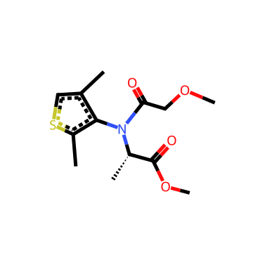 COCC(=O)N(c1c(C)csc1C)[C@@H](C)C(=O)OC